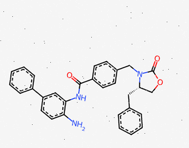 Nc1ccc(-c2ccccc2)cc1NC(=O)c1ccc(CN2C(=O)OC[C@@H]2Cc2ccccc2)cc1